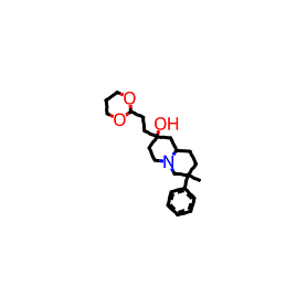 CC1(c2ccccc2)CCC2CC(O)(CCC3OCCCO3)CCN2C1